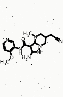 COc1ccncc1NC(=O)C1C(N)NN2CC(CC#N)CN(C)C12